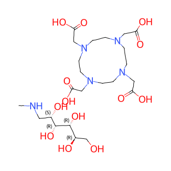 CNC[C@H](O)[C@@H](O)[C@H](O)[C@H](O)CO.O=C(O)CN1CCN(CC(=O)O)CCN(CC(=O)O)CCN(CC(=O)O)CC1